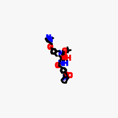 Cn1nccc1COc1ccc2c(c1)CN(C(=O)OC(C)(C)C)[C@H]([C@H](O)CNC(=O)c1ccc(C(=O)N3C4CCCC3COC4)cc1)C2